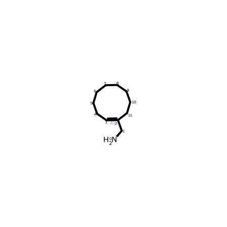 NC/C1=C/CCCCCCCC1